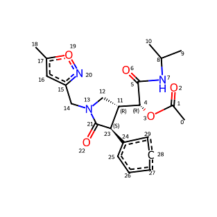 CC(=O)O[C@@H](C(=O)NC(C)C)[C@H]1CN(Cc2cc(C)on2)C(=O)[C@@H]1c1ccccc1